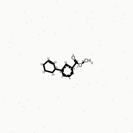 COC(=O)c1cccc(C2C=CCCC2)c1